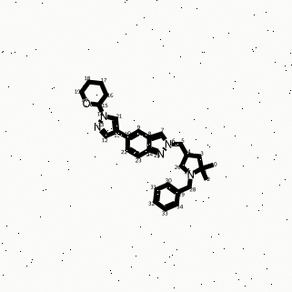 CC1(C)CC(Cn2cc3cc(-c4cnn(C5CCCCO5)c4)ccc3n2)CN1Cc1ccccc1